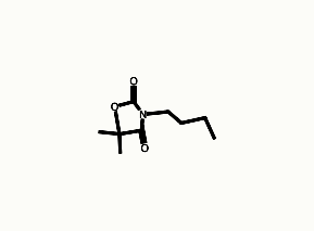 CCCCN1C(=O)OC(C)(C)C1=O